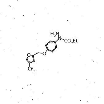 CCOC(=O)N(N)c1ccc(OCc2cc(C(F)(F)F)co2)cc1